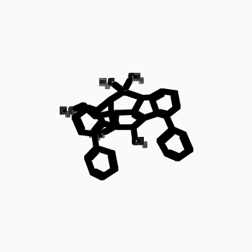 CCCC1=C2c3c(-c4ccccc4)cccc3[CH]1[Ti]([CH3])([CH3])[CH]1C(CCC)=C(c3c(-c4ccccc4)cccc31)C2C